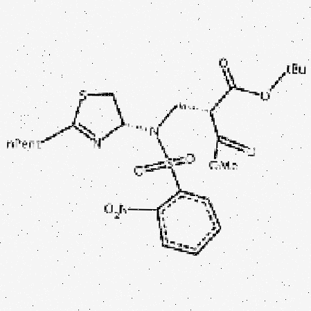 CCCCCC1=N[C@@H](N(C[C@@H](C(=O)OC)C(=O)OC(C)(C)C)S(=O)(=O)c2ccccc2[N+](=O)[O-])CS1